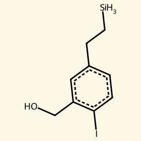 OCc1cc(CC[SiH3])ccc1I